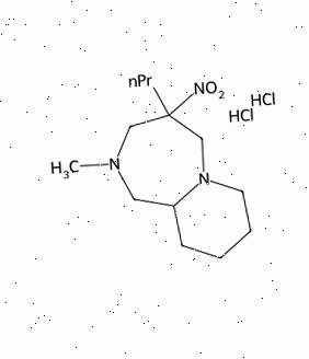 CCCC1([N+](=O)[O-])CN(C)CC2CCCCN2C1.Cl.Cl